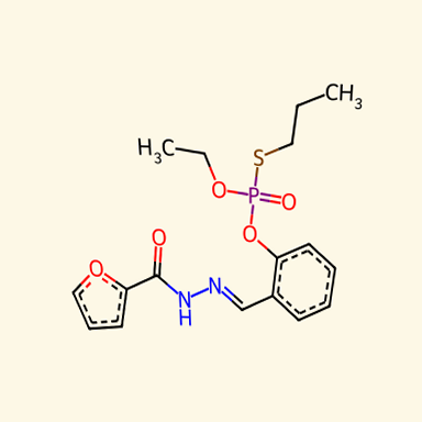 CCCSP(=O)(OCC)Oc1ccccc1C=NNC(=O)c1ccco1